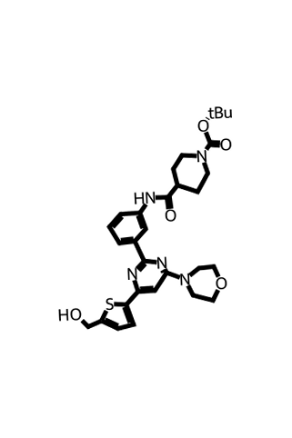 CC(C)(C)OC(=O)N1CCC(C(=O)Nc2cccc(-c3nc(-c4ccc(CO)s4)cc(N4CCOCC4)n3)c2)CC1